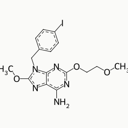 COCCOc1nc(N)c2nc(OC)n(Cc3ccc(I)cc3)c2n1